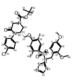 COc1ccc(CN(c2ncns2)S(=O)(=O)c2cc(F)c(OC[C@H]3CN(C(=O)OC(C)(C)C)CC(=O)N3c3ccc(Cl)cc3)cc2F)c(OC)c1